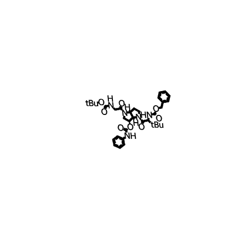 CC(C)(C)OC(=O)NCC(=O)N1C[C@H](OC(=O)Nc2ccccc2)[C@@H]2[C@H]1CCN2C(=O)C(NC(=O)OCc1ccccc1)C(C)(C)C